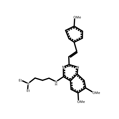 CCN(CC)CCCNc1nc(C=Cc2ccc(OC)cc2)nc2cc(OC)c(OC)cc12